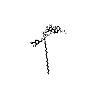 CCCCCCCCCCCCCCCCCCC[C@H](COP(=O)(O)OCC(C#N)(OC)[C@@H](O)[C@@H](O)c1ccc2c(N)ncnn12)OCc1ccc(C#N)c(Cl)c1